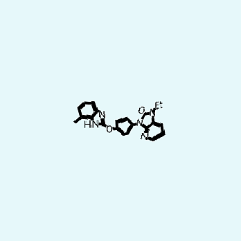 CCn1c(=O)n(-c2ccc(Oc3nc4cccc(C)c4[nH]3)cc2)c2ncccc21